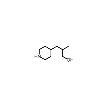 CC(CO)CC1CCNCC1